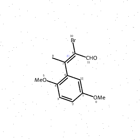 COc1ccc(OC)c(/C(C)=C(/Br)C=O)c1